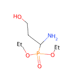 CCOP(=O)(OCC)C(N)CCO